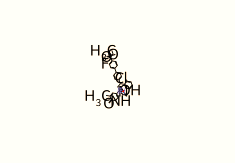 COC(=O)c1ccc(-c2ccc(C(C/C(=N\O)c3c[nH]c(=O)c(C)c3)c3ccccc3Cl)cc2)cc1F